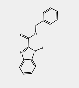 O=C(OCc1ccccc1)c1nc2ccccc2n1I